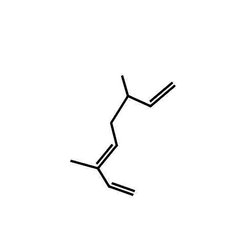 C=CC(C)=CCC(C)C=C